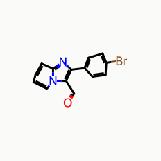 O=Cc1c(-c2ccc(Br)cc2)nc2ccccn12